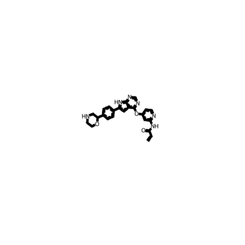 C=CC(=O)Nc1cc(Oc2ncnc3[nH]c(-c4ccc(C5CNCCO5)cc4)cc23)ccn1